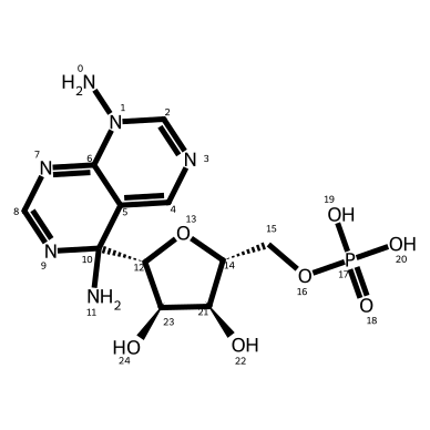 NN1C=NC=C2C1=NC=NC2(N)[C@@H]1O[C@H](COP(=O)(O)O)[C@@H](O)[C@H]1O